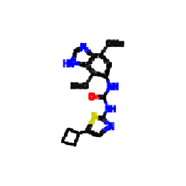 COc1cc(NC(=O)Nc2ncc(C3CCC3)s2)c(OC)c2[nH]cnc12